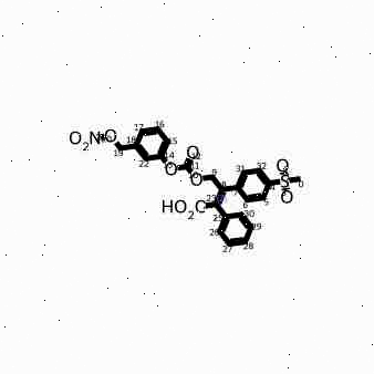 CS(=O)(=O)c1ccc(/C(COC(=O)Oc2cccc(CO[N+](=O)[O-])c2)=C(/C(=O)O)c2ccccc2)cc1